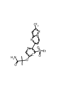 CCS(=O)(=O)c1cc(OC(C)(C)C(N)=O)cnc1-c1ccn2nc(C(F)(F)F)cc2n1